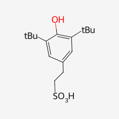 CC(C)(C)c1cc(CCS(=O)(=O)O)cc(C(C)(C)C)c1O